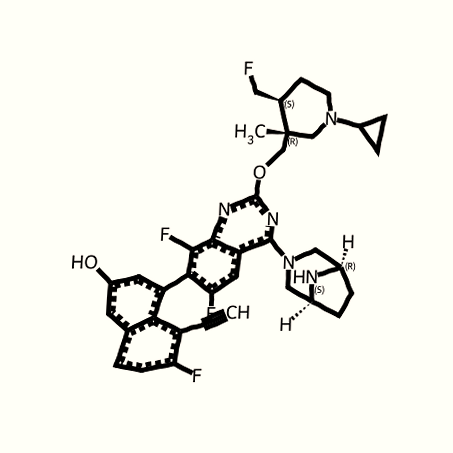 C#Cc1c(F)ccc2cc(O)cc(-c3c(F)cc4c(N5C[C@H]6CC[C@@H](C5)N6)nc(OC[C@@]5(C)CN(C6CC6)CC[C@@H]5CF)nc4c3F)c12